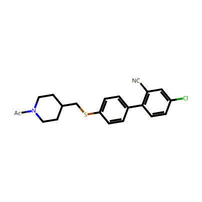 CC(=O)N1CCC(CSc2ccc(-c3ccc(Cl)cc3C#N)cc2)CC1